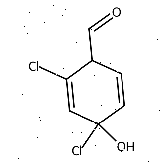 O=CC1C=CC(O)(Cl)C=C1Cl